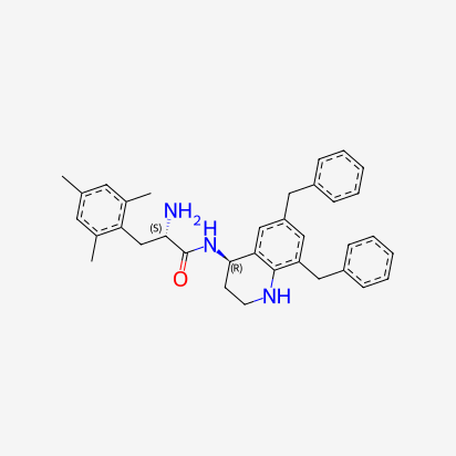 Cc1cc(C)c(C[C@H](N)C(=O)N[C@@H]2CCNc3c(Cc4ccccc4)cc(Cc4ccccc4)cc32)c(C)c1